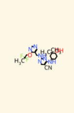 CC(F)(F)COc1ncncc1CNc1ncc(C#N)c(N[C@@H]2CCC(O)C(C)(C)C2)n1